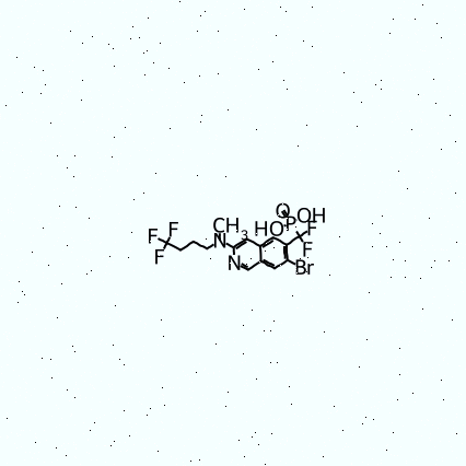 CN(CCCC(F)(F)F)c1cc2cc(C(F)(F)P(=O)(O)O)c(Br)cc2cn1